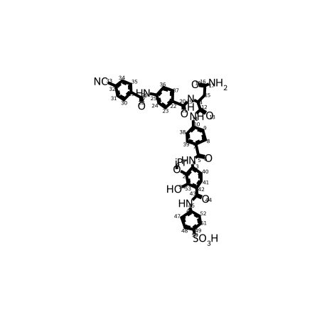 CC(C)Oc1c(NC(=O)c2ccc(NC(=O)C(CC(N)=O)NC(=O)c3ccc(NC(=O)c4ccc(C#N)cc4)cc3)cc2)ccc(C(=O)Nc2ccc(S(=O)(=O)O)cc2)c1O